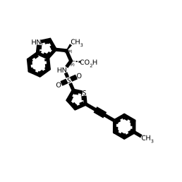 Cc1ccc(C#Cc2ccc(S(=O)(=O)N[C@@H](C(=O)O)[C@H](C)c3c[nH]c4ccccc34)s2)cc1